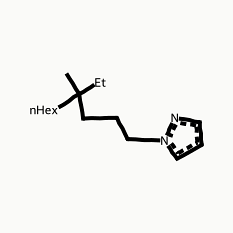 CCCCCCC(C)(CC)CCCn1cccn1